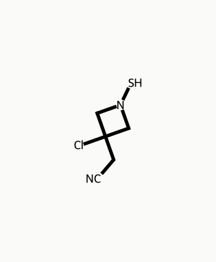 N#CCC1(Cl)CN(S)C1